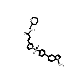 Cn1ccc2cc(-c3ccc(S(=O)(=O)n4ccc(C=CC(=O)NOC5CCCCO5)c4)cc3)ccc21